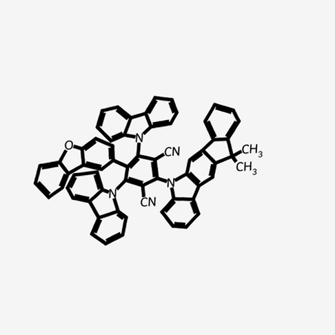 CC1(C)c2ccccc2-c2cc3c(cc21)c1ccccc1n3-c1c(C#N)c(-n2c3ccccc3c3ccccc32)c(-c2ccc3oc4ccccc4c3c2)c(-n2c3ccccc3c3ccccc32)c1C#N